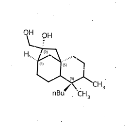 CCCC[C@]1(C)C(C)CC[C@@]23C[C@@H](CCC21)[C@@](O)(CO)C3